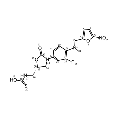 CN(Cc1ccc([N+](=O)[O-])o1)c1ccc(N2C[C@H](CNC(O)=S)OC2=O)cc1F